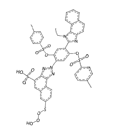 CCn1c(-c2cc(OS(=O)(=O)c3ccc(C)cc3)c(-n3nc4c(S(=O)(=O)O)cc5cc(SOOO)ccc5c4n3)cc2OS(=O)(=O)c2ccc(C)cc2)nc2ccc3ccccc3c21